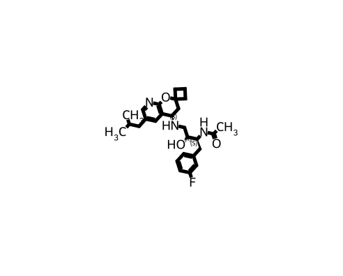 CC(=O)N[C@@H](Cc1cccc(F)c1)[C@H](O)CN[C@H]1CC2(CCC2)Oc2ncc(CC(C)C)cc21